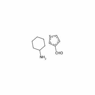 NC1CCCCC1.O=Cc1ccsc1